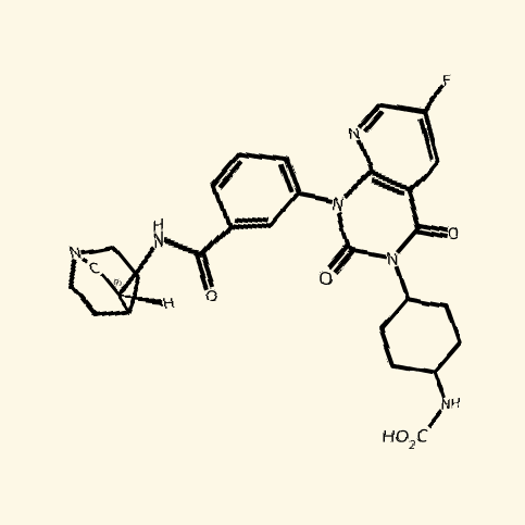 O=C(O)NC1CCC(n2c(=O)c3cc(F)cnc3n(-c3cccc(C(=O)N[C@H]4CN5CCC4CC5)c3)c2=O)CC1